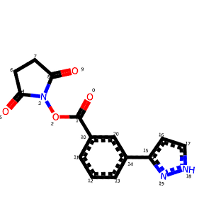 O=C(ON1C(=O)CCC1=O)c1cccc(-c2cc[nH]n2)c1